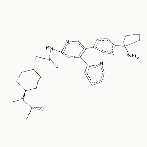 CC(=O)N(C)[C@H]1CC[C@H](CC(=O)Nc2cc(-c3ccccn3)c(-c3ccc(C4(N)CCC4)cc3)cn2)CC1